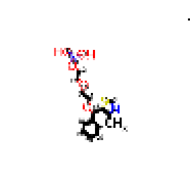 Cc1ncsc1C(OCCOCCON(O)O)c1ccccc1